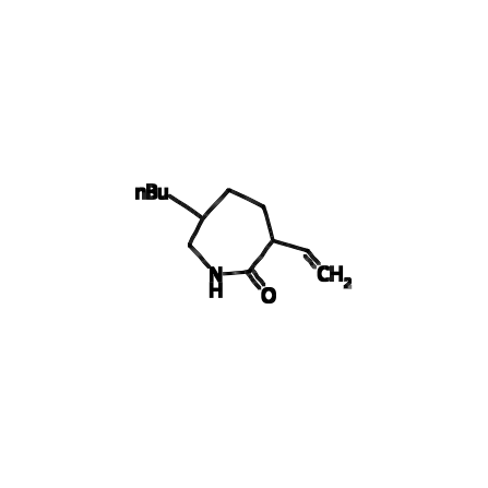 C=CC1CCC(CCCC)CNC1=O